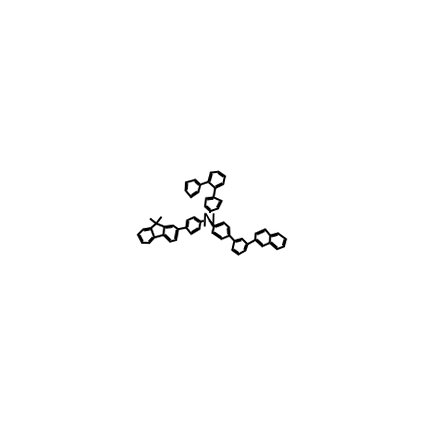 CC1(C)c2ccccc2-c2ccc(-c3ccc(N(c4ccc(-c5cccc(-c6ccc7ccccc7c6)c5)cc4)c4ccc(-c5ccccc5-c5ccccc5)cc4)cc3)cc21